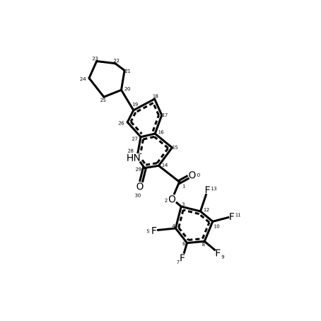 O=C(Oc1c(F)c(F)c(F)c(F)c1F)c1cc2ccc(C3CCCCC3)cc2[nH]c1=O